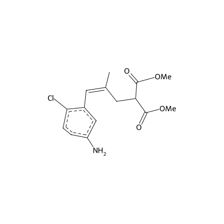 COC(=O)C(CC(C)=Cc1cc(N)ccc1Cl)C(=O)OC